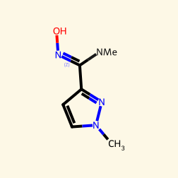 CN/C(=N\O)c1ccn(C)n1